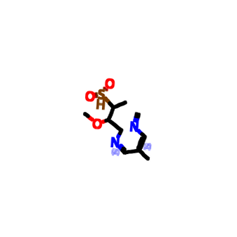 C=N/C=C(C)\C=N/CC(OC)C(C)[SH](=O)=O